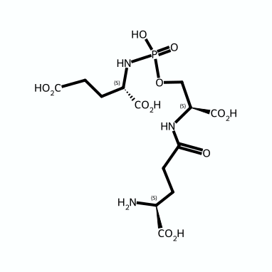 N[C@@H](CCC(=O)N[C@@H](COP(=O)(O)N[C@@H](CCC(=O)O)C(=O)O)C(=O)O)C(=O)O